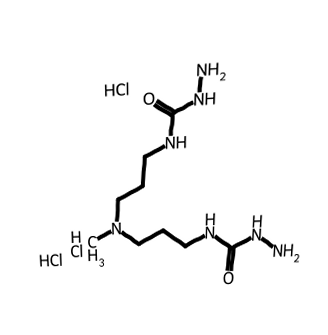 CN(CCCNC(=O)NN)CCCNC(=O)NN.Cl.Cl.Cl